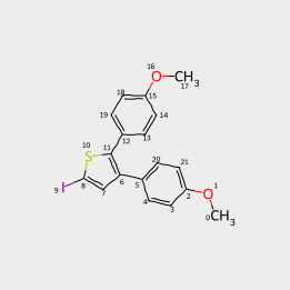 COc1ccc(-c2cc(I)sc2-c2ccc(OC)cc2)cc1